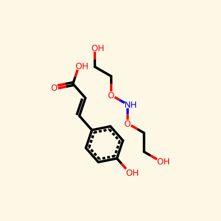 O=C(O)C=Cc1ccc(O)cc1.OCCONOCCO